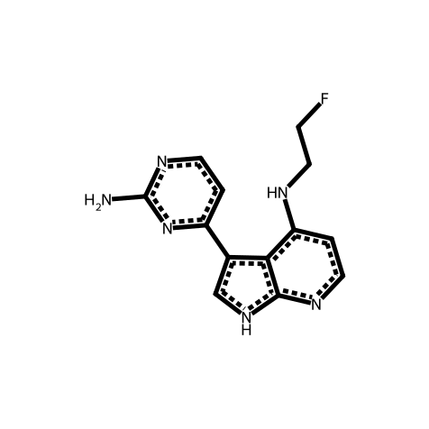 Nc1nccc(-c2c[nH]c3nccc(NCCF)c23)n1